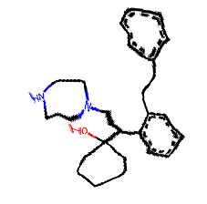 OC1(C(CN2CCNCC2)c2ccccc2CCc2ccccc2)CCCCC1